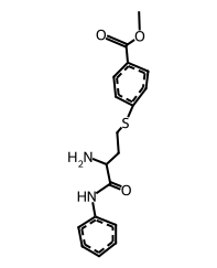 COC(=O)c1ccc(SCCC(N)C(=O)Nc2ccccc2)cc1